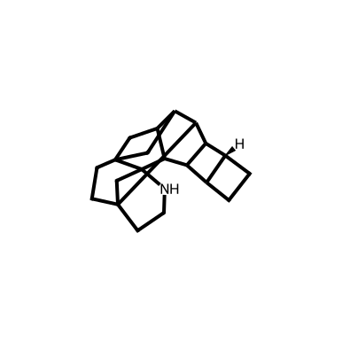 C1CC23CCC45CC6C(C4)C(C4C7CC[C@H]7C4C62)C5(C3)N1